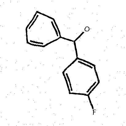 [O]C(c1ccccc1)c1ccc(F)cc1